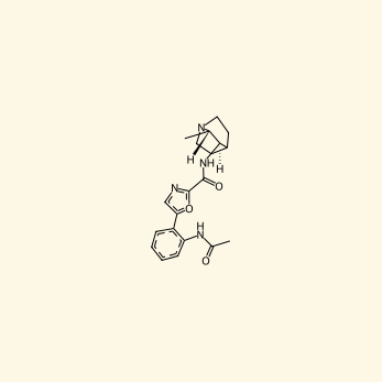 CC(=O)Nc1ccccc1-c1cnc(C(=O)N[C@@H]2C3CCN(CC3)[C@H]2C)o1